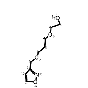 OCCOCCCOCc1ccon1